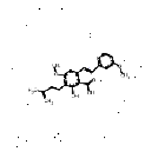 C=C(C)CCc1c(OC)cc(/C=C/c2cc(OC)ccn2)c(C(=O)O)c1O